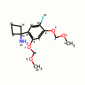 COCOc1cc(OCOC)c(C2(N)CCC2)cc1F